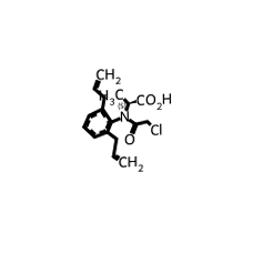 C=CCc1cccc(CC=C)c1N(C(=O)CCl)[C@@H](C)C(=O)O